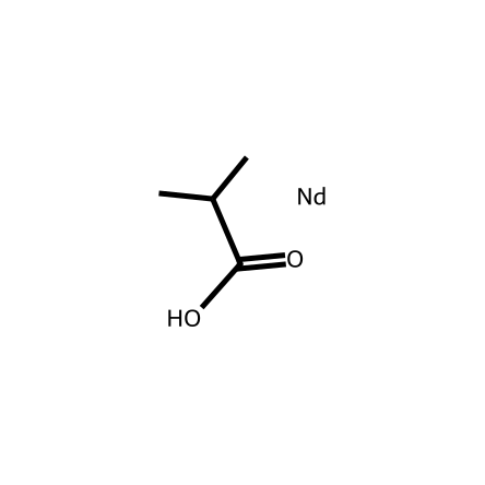 CC(C)C(=O)O.[Nd]